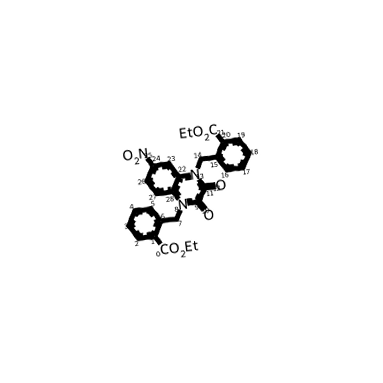 CCOC(=O)c1ccccc1Cn1c(=O)c(=O)n(Cc2ccccc2C(=O)OCC)c2cc([N+](=O)[O-])ccc21